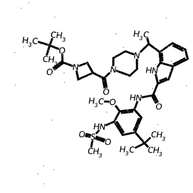 COc1c(NC(=O)c2cc3cccc(C(C)N4CCN(C(=O)C5CN(C(=O)OC(C)(C)C)C5)CC4)c3[nH]2)cc(C(C)(C)C)cc1NS(C)(=O)=O